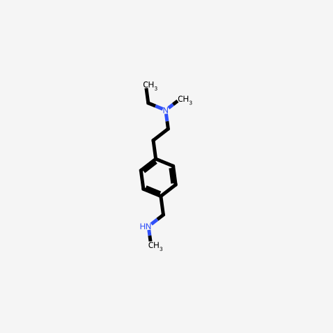 CCN(C)CCc1ccc(CNC)cc1